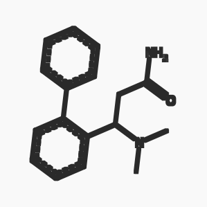 CN(C)C(CC(N)=O)c1ccccc1-c1ccccc1